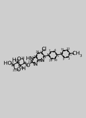 Cc1ccc(-c2ccc(-c3nc4nc(O[C@@H]5CO[C@H]6[C@@H]5OC[C@H]6O)[nH]c4cc3Cl)cc2)cc1